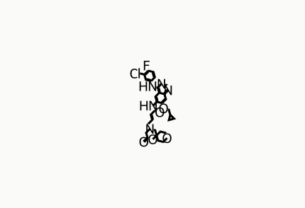 O=C(C=CCN1CC(=O)OC2(CCOCC2)C1)Nc1cc2c(Nc3ccc(F)c(Cl)c3)ncnc2cc1OCC1CC1